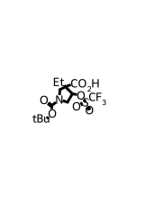 CCC1(C(=O)O)CN(C(=O)OC(C)(C)C)CC1OS(=O)(=O)C(F)(F)F